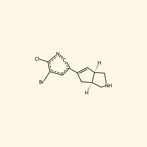 Clc1ncc(C2=C[C@H]3CNC[C@H]3C2)cc1Br